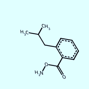 CC(C)Cc1ccccc1C(=O)ON